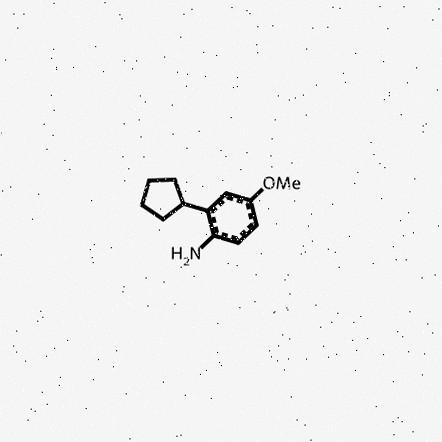 COc1ccc(N)c(C2CCCC2)c1